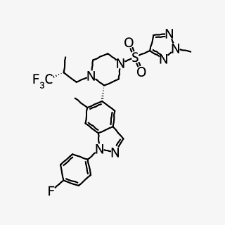 Cc1cc2c(cnn2-c2ccc(F)cc2)cc1[C@H]1CN(S(=O)(=O)c2cnn(C)n2)CCN1C[C@@H](C)C(F)(F)F